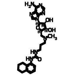 CN(CCCNC(=O)Nc1cccc2c1CCCC2)C[C@H]1O[C@@H](n2cnc3c(N)ncnc32)[C@H](O)[C@@H]1O